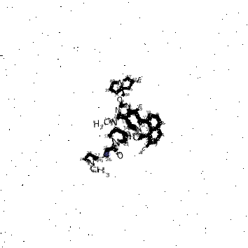 C#Cc1c(F)ccc2cccc(-c3ncc4c(N(C)[C@@H]5CCN(C(=O)/C=C/[C@H]6CCN6C)C5)nc(OC[C@@]56CCCN5C[C@H](F)C6)nc4c3F)c12